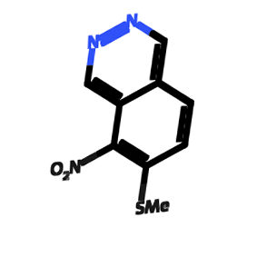 CSc1ccc2cnncc2c1[N+](=O)[O-]